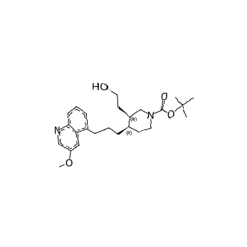 COc1cnc2cccc(CCC[C@@H]3CCN(C(=O)OC(C)(C)C)C[C@@H]3CCO)c2c1